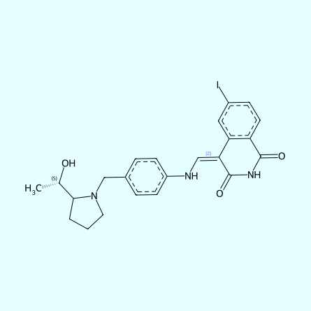 C[C@H](O)C1CCCN1Cc1ccc(N/C=C2\C(=O)NC(=O)c3ccc(I)cc32)cc1